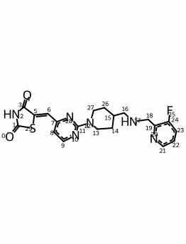 O=C1NC(=O)/C(=C/c2ccnc(N3CCC(CNCc4ncccc4F)CC3)n2)S1